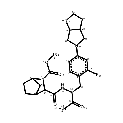 CC(C)(C)OC(=O)N1C2CCC(C2)C1C(=O)N[C@@H](Cc1ccc(N2CC3CCNC3C2)cc1F)C(N)=O